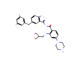 CN1CCN(c2ccc(C(=O)Nc3n[nH]c4ccc(Cc5cc(F)cc(F)c5)cc34)c(NCC3COC3)c2)CC1